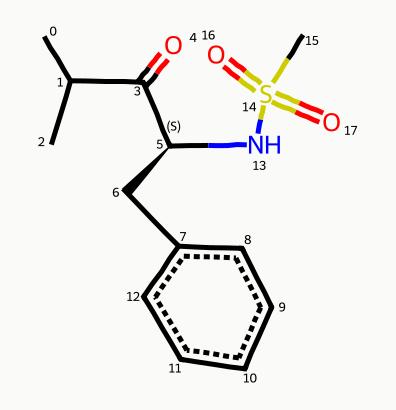 CC(C)C(=O)[C@H](Cc1ccccc1)NS(C)(=O)=O